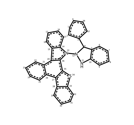 c1ccc(C2c3ccccc3NN2n2c3ccccc3c3c4ccccc4c4c5ccccc5sc4c32)cc1